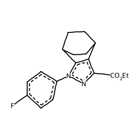 CCOC(=O)c1nn(-c2ccc(F)cc2)c2c1C1CCC2CC1